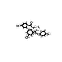 CN(C(=O)c1ccc(O)cc1)c1ccc(Cl)cc1C(=O)Nc1ccc(Cl)cn1